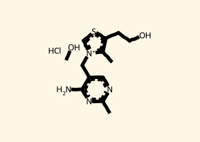 CO.Cc1ncc(C[n+]2csc(CCO)c2C)c(N)n1.Cl